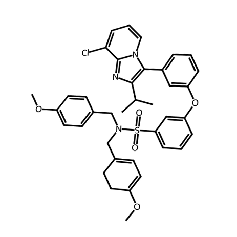 COC1=CC=C(CN(Cc2ccc(OC)cc2)S(=O)(=O)c2cccc(Oc3cccc(-c4c(C(C)C)nc5c(Cl)cccn45)c3)c2)CC1